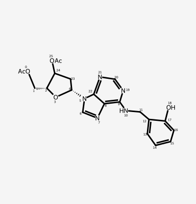 CC(=O)OC[C@H]1O[C@@H](n2cnc3c(NCc4ccccc4O)ncnc32)CC1OC(C)=O